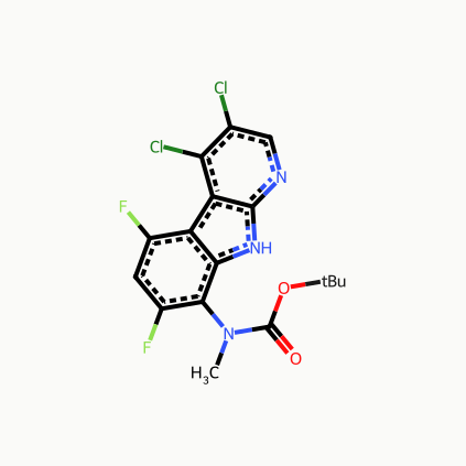 CN(C(=O)OC(C)(C)C)c1c(F)cc(F)c2c1[nH]c1ncc(Cl)c(Cl)c12